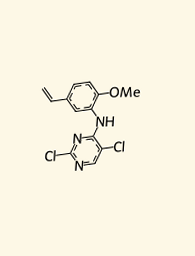 C=Cc1ccc(OC)c(Nc2nc(Cl)ncc2Cl)c1